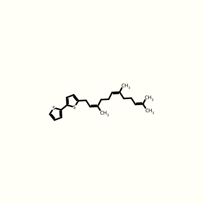 CC(C)=CCCC(C)=CCCC(C)=CCc1ccc(-c2cccs2)s1